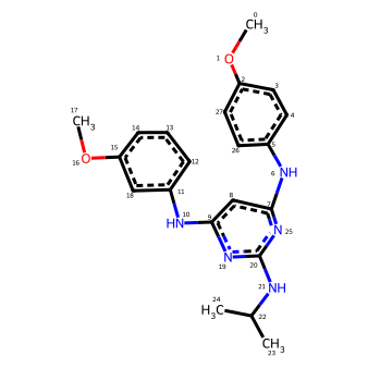 COc1ccc(Nc2cc(Nc3cccc(OC)c3)nc(NC(C)C)n2)cc1